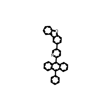 c1ccc(-c2c3ccccc3c(-c3ccc(-c4ccc5oc6ccccc6c5c4)cn3)c3ccccc23)cc1